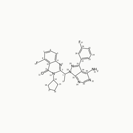 CC(c1nc2cccc(F)c2c(=O)n1C1CCCC1)n1nc(-c2cccc(F)c2)c2c(N)ncnc21